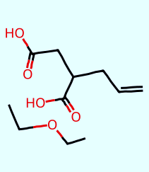 C=CCC(CC(=O)O)C(=O)O.CCOCC